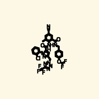 Cc1cc(C#N)cc(C(=O)NCc2ccc(OC(F)F)cc2)c1NC(=O)c1cc(Cn2nnc(C(F)(F)F)n2)nn1-c1ccccc1Cl